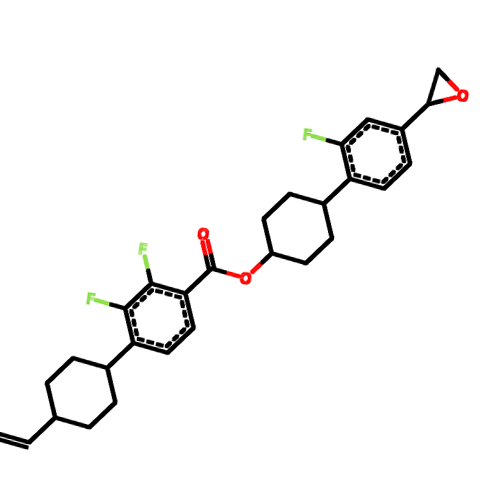 C/C=C/C1CCC(c2ccc(C(=O)OC3CCC(c4ccc(C5CO5)cc4F)CC3)c(F)c2F)CC1